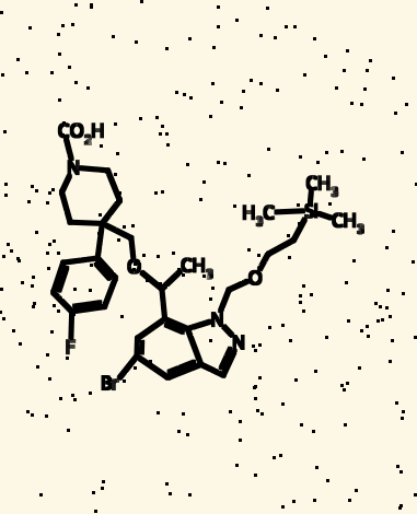 CC(OCC1(c2ccc(F)cc2)CCN(C(=O)O)CC1)c1cc(Br)cc2cnn(COCC[Si](C)(C)C)c12